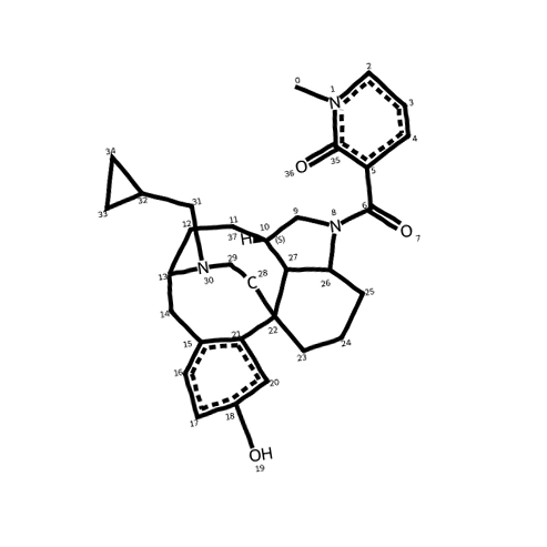 Cn1cccc(C(=O)N2C[C@H]3CCC4Cc5ccc(O)cc5C5(CCCC2C35)CCN4CC2CC2)c1=O